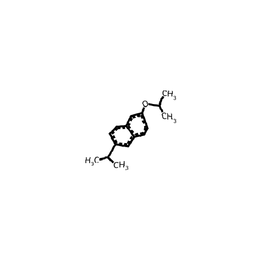 CC(C)Oc1ccc2cc(C(C)C)ccc2c1